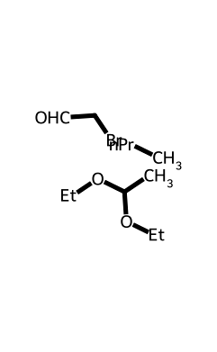 CCCC.CCOC(C)OCC.O=CCBr